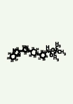 CC(C)(C)OC(=O)Nc1cccc(N2CCC(n3cc(-c4cnc5ccccc5n4)cn3)CC2)c1